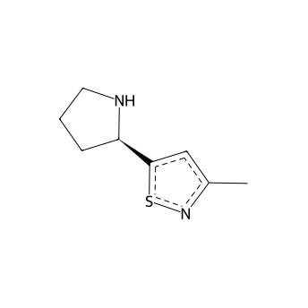 Cc1cc([C@H]2CCCN2)sn1